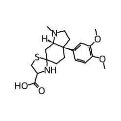 COc1ccc([C@]23CCN(C)[C@H]2CC2(CC3)NC(C(=O)O)CS2)cc1OC